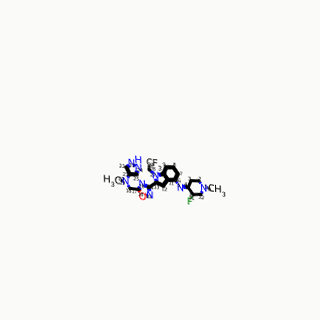 CN1CC/C(=N\c2cccc3c2cc(-c2noc(CN(C)c4cn[nH]c4)n2)n3CC(F)(F)F)[C@@H](F)C1